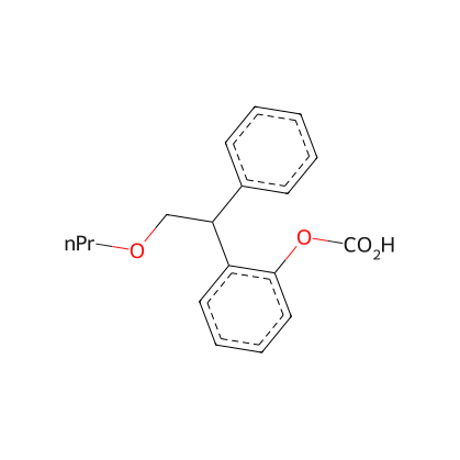 CCCOCC(c1ccccc1)c1ccccc1OC(=O)O